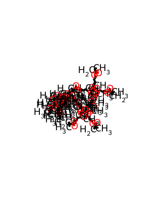 C=C(C)C(=O)OCCCC[Si]1(C)O[Si](C)(CCCCOC(=O)C(=C)C)O[Si](C)(O[Si](C)(C)O[Si](C)(C)O[Si](C)(C)O[Si]2(C)O[Si](C)(CCCOC(=O)C(=C)C)O[Si](C)(CCCOC(=O)C(=C)C)O[Si](C)(O[Si](C)(C)O[Si](C)(C)O[Si](C)(C)O[Si](C)(C)O[Si](C)(O[Si](C)(C)O[Si](C)(C)O[Si](C)(C)O[Si](C)(C)O[Si](C)(C)C)O[Si](C)(C)O[Si](C)(C)O[Si](C)(C)O[Si](C)(C)O[Si](C)(C)C)O2)O[Si](C)(CCCOC(=O)C(=C)C)O1